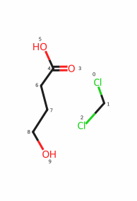 ClCCl.O=C(O)CCCO